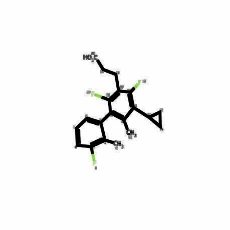 Cc1c(F)cccc1-c1c(C)c(C2CC2)c(F)c(CCC(=O)O)c1F